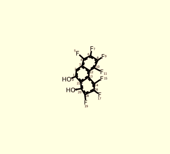 Oc1cc2c(F)c(F)c(F)c(F)c2c2c(F)c(F)c(F)c(O)c12